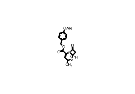 COc1ccc(COC(=O)C2=CC(C)S[C@@H]3CC(=O)N23)cc1